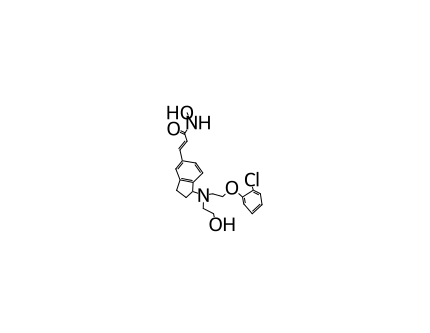 O=C(C=Cc1ccc2c(c1)CCC2N(CCO)CCOc1ccccc1Cl)NO